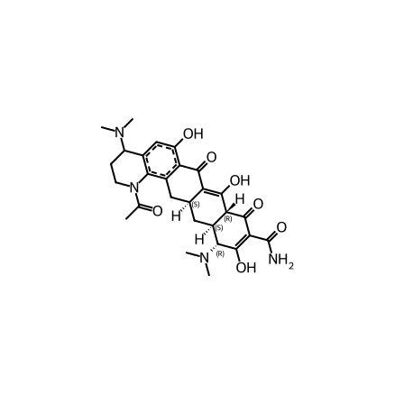 CC(=O)N1CCC(N(C)C)c2cc(O)c3c(c21)C[C@@H]1C[C@H]2[C@@H](C(=O)C(C(N)=O)=C(O)[C@@H]2N(C)C)C(O)=C1C3=O